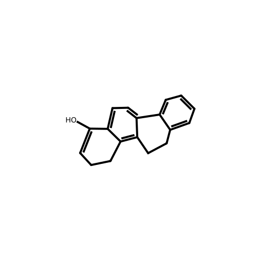 OC1=CCCc2c1ccc1c2CCc2ccccc2-1